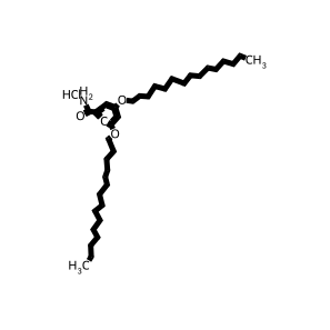 CCCCCCCCCCCCCCCOc1cc(OCCCCCCCCCCCCCCC)cc(C(N)=O)c1.Cl